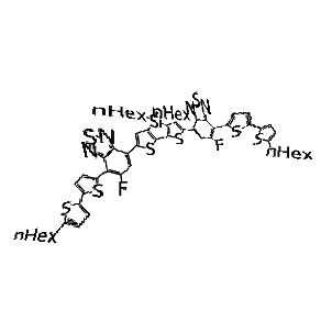 CCCCCCc1ccc(-c2ccc(-c3c(F)cc(-c4cc5c(s4)-c4sc(-c6cc(F)c(-c7ccc(-c8ccc(CCCCCC)s8)s7)c7nsnc67)cc4[Si]5(CCCCCC)CCCCCC)c4nsnc34)s2)s1